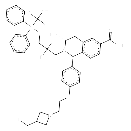 CC(=O)c1ccc2c(c1)C[C@@H](C)N(CC(F)(F)CO[Si](c1ccccc1)(c1ccccc1)C(C)(C)C)[C@@H]2c1ccc(OCCN2CC(CF)C2)cc1